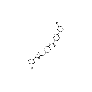 O=C(NC1CCN(Cc2nc(-c3cccc(F)c3)cs2)CC1)c1ccc(-c2cccc(F)c2)nc1